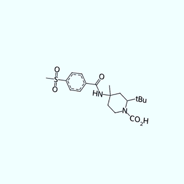 CC1(NC(=O)c2ccc(S(C)(=O)=O)cc2)CCN(C(=O)O)C(C(C)(C)C)C1